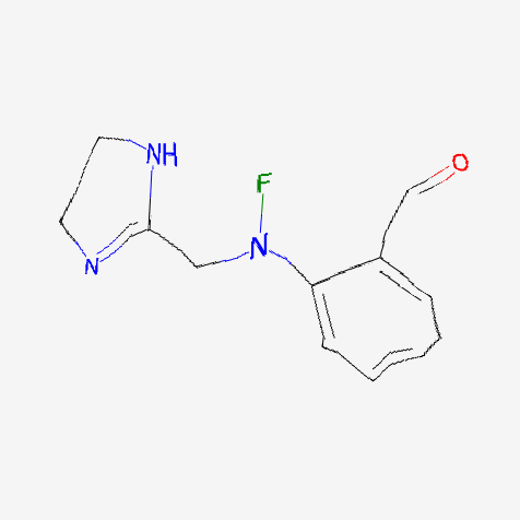 O=Cc1ccccc1N(F)CC1=NCCN1